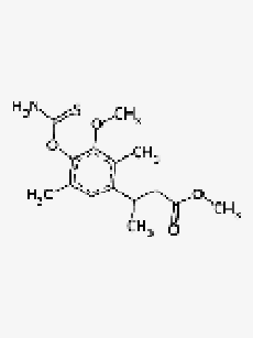 COC(=O)CC(C)c1cc(C)c(OC(N)=S)c(OC)c1C